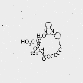 CC(C)(C)[C@@H]1NC(=O)OCCCC/C=C/c2cccc(c2)-c2nc3ccccc3nc2O[C@@H]2C[C@@H](C(=O)O)N(C2)C1=O